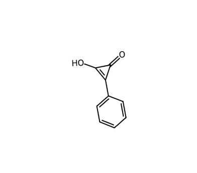 O=c1c(O)c1-c1ccccc1